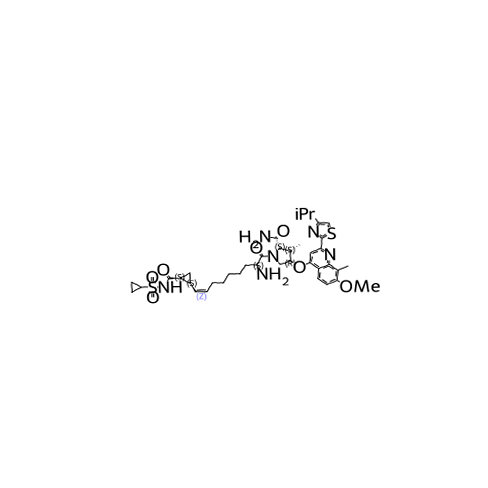 COc1ccc2c(O[C@H]3CN(C(=O)[C@@H](N)CCCCC/C=C\[C@@H]4C[C@@H]4C(=O)NS(=O)(=O)C4CC4)[C@H](C(N)=O)[C@@H]3C)cc(-c3nc(C(C)C)cs3)nc2c1C